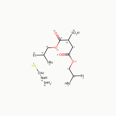 CC(=O)OS.CCCCC(CC)COC(=O)CC(C(=O)OCC(CC)CCCC)S(=O)(=O)O.[NaH].[SnH2]